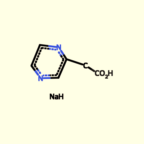 O=C(O)Cc1cnccn1.[NaH]